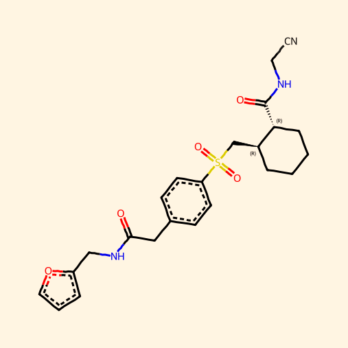 N#CCNC(=O)[C@@H]1CCCC[C@H]1CS(=O)(=O)c1ccc(CC(=O)NCc2ccco2)cc1